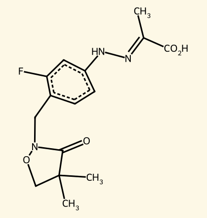 CC(=NNc1ccc(CN2OCC(C)(C)C2=O)c(F)c1)C(=O)O